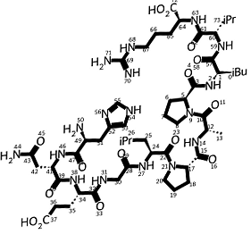 CC[C@H](C)[C@H](NC(=O)[C@@H]1CCCN1C(=O)[C@H](C)NC(=O)[C@@H]1CCCN1C(=O)[C@H](CC(C)C)NC(=O)CNC(=O)[C@H](CCC(=O)O)NC(=O)[C@H](CC(N)=O)NC(=O)[C@@H](N)Cc1c[nH]cn1)C(=O)N[C@H](C(=O)N[C@@H](CCCNC(=N)N)C(=O)O)C(C)C